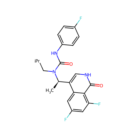 CC(C)CN(C(=O)Nc1ccc(F)cc1)[C@H](C)c1c[nH]c(=O)c2c(F)cc(F)cc12